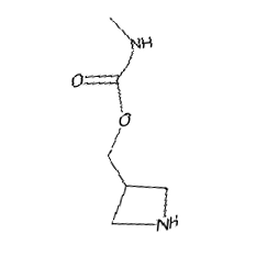 CNC(=O)OCC1CNC1